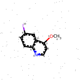 COc1ccnc2ccc(I)cc12